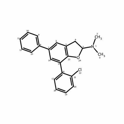 CN(C)C1Cc2cc(-c3ccccc3)cc(-c3ccccc3Cl)c2O1